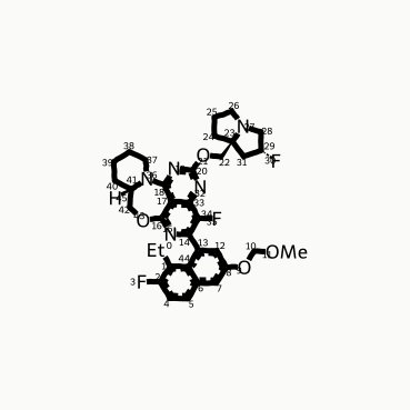 CCc1c(F)ccc2cc(OCOC)cc(-c3nc4c5c(nc(OC[C@@]67CCCN6C[C@H](F)C7)nc5c3F)N3CCCC[C@H]3CO4)c12